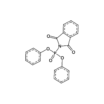 O=C1c2ccccc2C(=O)N1P(=O)(Oc1ccccc1)Oc1ccccc1